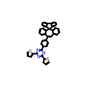 C1=CSC(c2nc(-c3ccc(C4=Cc5ccccc5C5(c6ccccc64)c4ccccc4-c4ccccc45)cc3)nc(-c3cccs3)n2)C1